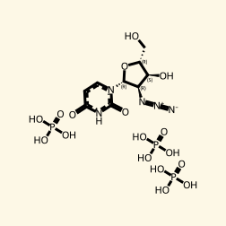 O=P(O)(O)O.O=P(O)(O)O.O=P(O)(O)O.[N-]=[N+]=N[C@@H]1[C@H](O)[C@@H](CO)O[C@H]1n1ccc(=O)[nH]c1=O